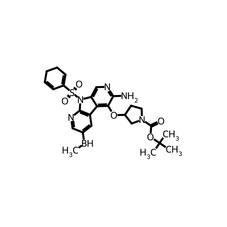 CBc1cnc2c(c1)c1c(OC3CCN(C(=O)OC(C)(C)C)C3)c(N)ncc1n2S(=O)(=O)C1=CCCC=C1